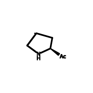 CC(=O)[C@@H]1C[CH]CN1